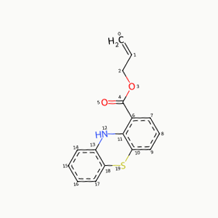 C=CCOC(=O)c1cccc2c1Nc1ccccc1S2